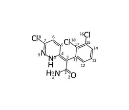 NC(=O)/C(=C1/C=CC(Cl)=NN1)c1cccc(Cl)c1Cl